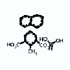 Cc1c(C(=O)O)cccc1C(=O)O.OBO.c1ccc2ccccc2c1